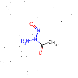 CC(=O)N(N)N=O